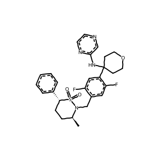 C[C@H]1CC[C@H](c2ccccc2)S(=O)(=O)N1Cc1cc(F)c(C2(Nc3cnccn3)CCOCC2)cc1F